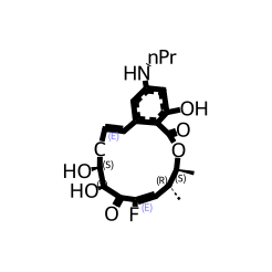 CCCNc1cc(O)c2c(c1)/C=C/C[C@H](O)[C@H](O)C(=O)/C(F)=C\[C@@H](C)[C@H](C)OC2=O